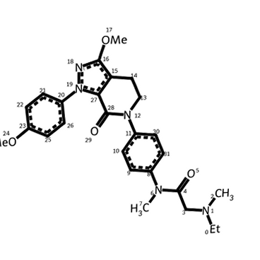 CCN(C)CC(=O)N(C)c1ccc(N2CCc3c(OC)nn(-c4ccc(OC)cc4)c3C2=O)cc1